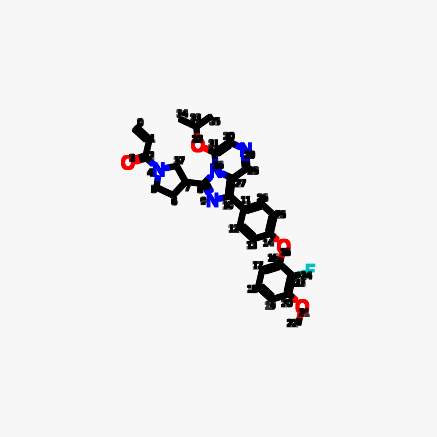 C=CC(=O)N1CCC(c2nc(-c3ccc(Oc4cccc(OC)c4F)cc3)c3cncc(OC(C)C)n23)C1